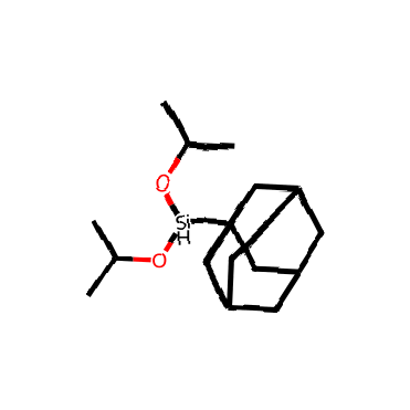 CC(C)O[SiH](OC(C)C)C12CC3CC(CC(C3)C1)C2